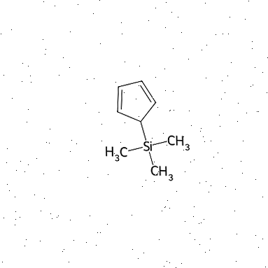 C[Si](C)(C)C1C=CC=C1